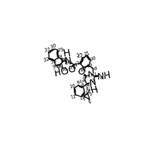 N=C1N[C@@](CC2CC2)(c2ccccc2)CC(=O)N1Cc1cccc(C(=O)N[C@@H]2c3ccccc3C[C@H]2O)c1